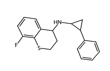 Fc1cccc2c1SCCC2NC1CC1c1ccccc1